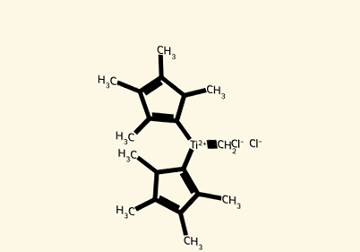 [CH2]=[Ti+2]([C]1=C(C)C(C)=C(C)C1C)[C]1=C(C)C(C)=C(C)C1C.[Cl-].[Cl-]